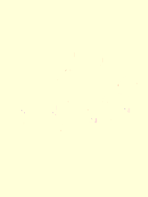 CCN(CC)CCNC(=O)c1c(C)[nH]c(/C=C2\C(=O)Nc3ccc(F)cc32)c1C.O=C(O)C[C@H](O)C(=O)O